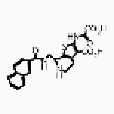 O=C(O)C(=O)Nc1sc2c(c1C(=O)O)CCN[C@H]2CNC(=O)c1ccc2ccccc2c1